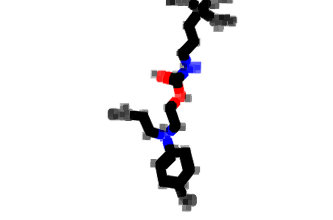 CO[Si](CCCNC(=O)OCCN(CCC=O)c1ccc(N=O)cc1)(OC)OC